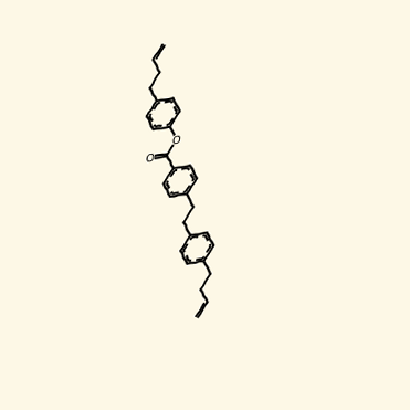 C=CCCc1ccc(CCc2ccc(C(=O)Oc3ccc(CCC=C)cc3)cc2)cc1